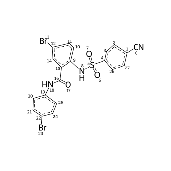 N#Cc1ccc(S(=O)(=O)Nc2ccc(Br)cc2C(=O)Nc2ccc(Br)cc2)cc1